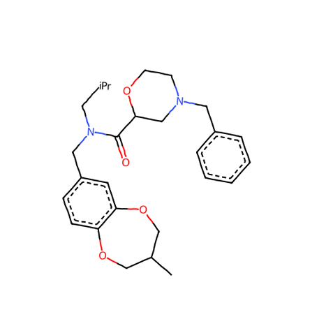 CC(C)CN(Cc1ccc2c(c1)OCC(C)CO2)C(=O)C1CN(Cc2ccccc2)CCO1